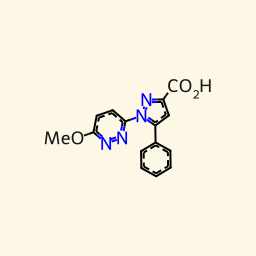 COc1ccc(-n2nc(C(=O)O)cc2-c2ccccc2)nn1